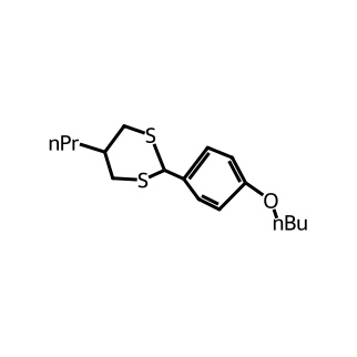 CCCCOc1ccc(C2SCC(CCC)CS2)cc1